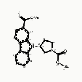 COC(=O)c1ccc2c3ccccc3n([C@@H]3CCN(C(=O)OC(C)(C)C)C3)c2c1